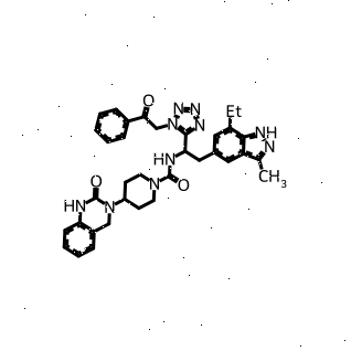 CCc1cc(CC(NC(=O)N2CCC(N3Cc4ccccc4NC3=O)CC2)c2nnnn2CC(=O)c2ccccc2)cc2c(C)n[nH]c12